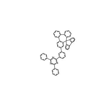 c1ccc(-c2nc(-c3ccccc3)nc(-c3cccc(-c4ccc5c(c4)C4(c6ccccc6-c6ccccc6-5)c5ccccc5-c5ccccc54)c3)n2)cc1